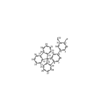 Cc1ccc(-c2ccc3c(c2)C2(c4ccccc4-c4ccccc42)c2ccccc2-3)cc1I